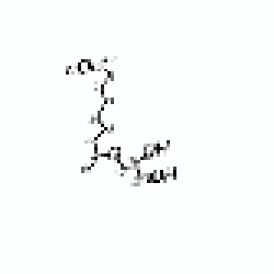 CCCCCCCCCCCCCCC(C)OCC(O)CO